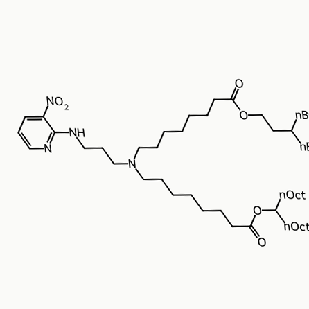 CCCCCCCCC(CCCCCCCC)OC(=O)CCCCCCCN(CCCCCCCC(=O)OCCC(CCCC)CCCC)CCCNc1ncccc1[N+](=O)[O-]